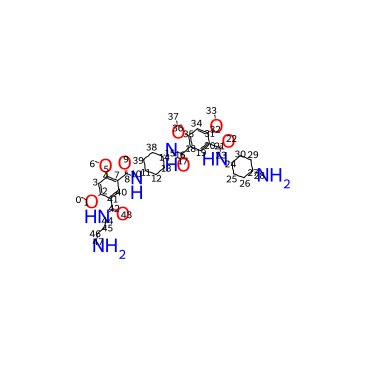 COc1cc(OC)c(C(=O)N[C@H]2CC[C@@H](NC(=O)c3cc(C(=O)N[C@H]4CC[C@@H](N)CC4)c(OC)cc3OC)CC2)cc1C(=O)NCCN